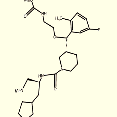 CNC[C@H](CC1CCCC1)NC(=O)N1CCC[C@@H](C(OCCNC(=O)OC)c2cc(F)ccc2C)C1